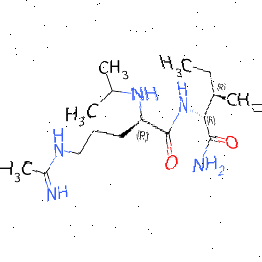 CC[C@@H](C)[C@@H](NC(=O)[C@@H](CCCNC(C)=N)NC(C)C)C(N)=O